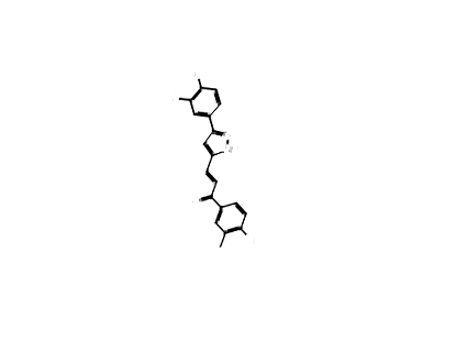 Cc1cc(C(=O)/C=C/c2cc(-c3ccc(F)c(F)c3)n[nH]2)ccc1Cl